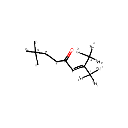 [2H]C([2H])([2H])C(=CC(=O)CCC(C)(C)C)C([2H])([2H])[2H]